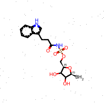 B[C@@H]1O[C@H](COS(=O)(=O)NC(=O)CCc2c[nH]c3ccccc23)C(O)C1O